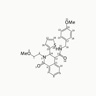 COCCN1C(=O)c2ccccc2C(C(=O)NCc2ccc(OC)cc2)C1c1cccs1